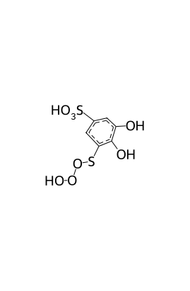 O=S(=O)(O)c1cc(O)c(O)c(SOOO)c1